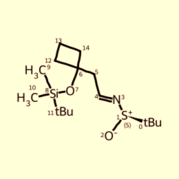 CC(C)(C)[S@@+]([O-])N=CCC1(O[Si](C)(C)C(C)(C)C)CCC1